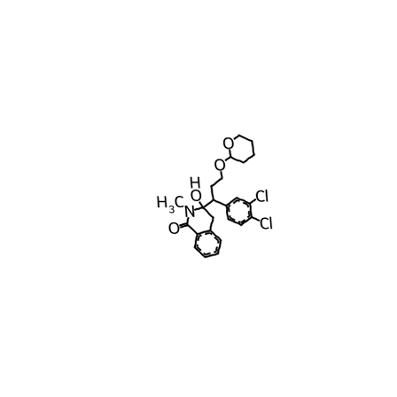 CN1C(=O)c2ccccc2CC1(O)C(CCOC1CCCCO1)c1ccc(Cl)c(Cl)c1